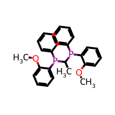 COc1ccccc1P(c1ccccc1)C(C)P(c1ccccc1)c1ccccc1OC